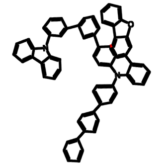 c1ccc(-c2ccc(-c3ccc(N(c4ccc(-c5cccc(-c6cccc(-n7c8ccccc8c8ccccc87)c6)c5)cc4)c4ccccc4-c4ccc5c(c4)oc4ccccc45)cc3)cc2)cc1